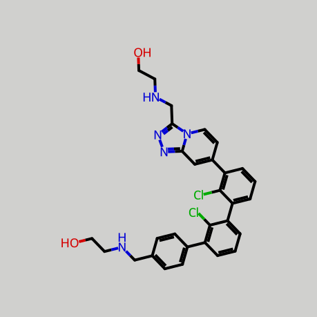 OCCNCc1ccc(-c2cccc(-c3cccc(-c4ccn5c(CNCCO)nnc5c4)c3Cl)c2Cl)cc1